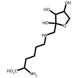 NC(CCCCNCC1(O)OCC(O)C1O)C(=O)O